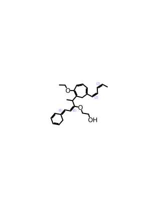 C/C=C\C=C/C1=CC=CC(OCC)=C(C(C)/C(=C\C=C2\C=CC=CC2)OCCO)C1